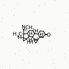 CC[C@]12CC[C@H]3[C@@H]([C@@H]4C[C@@H]4C4=CC(=O)CC[C@@H]43)[C@@H]1[C@@H]1C[C@@H]1[C@]2(C)C#N